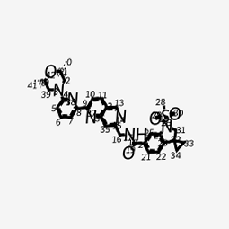 C[C@@H]1CN(c2cccc(-c3ccc4cnc(CNC(=O)c5ccc6c(c5)N(S(C)(=O)=O)CC65CC5)cc4n3)n2)C[C@H](C)O1